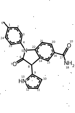 Cc1ccc(N2C(=O)C(c3ccc[nH]3)c3cc(C(N)=O)ccc32)cc1